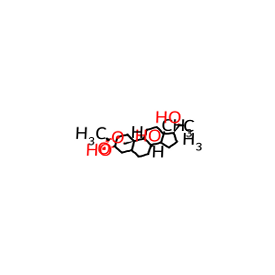 CC(=O)OC[C@]12CCC(O)CC1CC[C@@H]1[C@@H]2CC[C@]2(C)[C@@H](C(C)O)CC[C@@]12O